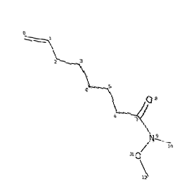 C=CCCCCCC(=O)N(C)OC